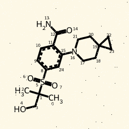 CC(C)(CO)S(=O)(=O)c1ccc(C(N)=O)c(N2CCC3(CC2)CC3)c1